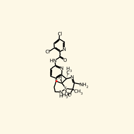 CC1(C)C(N)=N[C@](C)(c2nc(NC(=O)c3ncc(Cl)cc3Cl)ccc2F)[C@H]2CCCNS21O